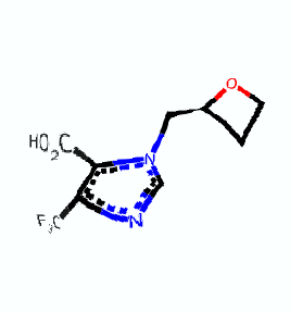 O=C(O)c1c(C(F)(F)F)ncn1C[C@@H]1CCO1